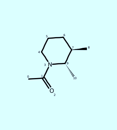 CC(=O)N1CCC[C@@H](C)[C@@H]1C